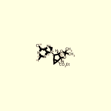 CCOC(=O)[C@]12CC1[C@@H](n1cnc3c(Cl)nc(I)nc31)[C@@H]1OC(C)(C)O[C@@H]12